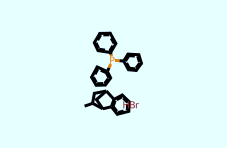 Br.CC1CC2CC1c1ccccc12.c1ccc(P(c2ccccc2)c2ccccc2)cc1